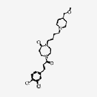 COCC1CCN(CCCCN2CCN(C(=O)C=Cc3ccc(Cl)c(Cl)c3)CCC2=O)CC1